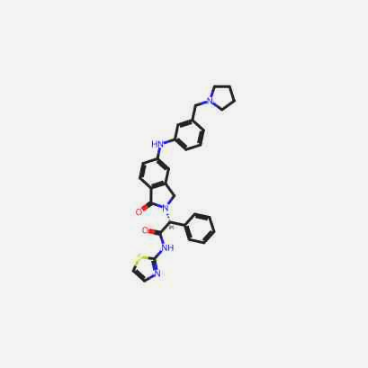 O=C(Nc1nccs1)[C@@H](c1ccccc1)N1Cc2cc(Nc3cccc(CN4CCCC4)c3)ccc2C1=O